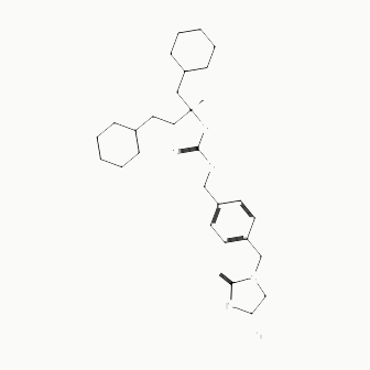 CCC[C@H]1CN(Cc2ccc(CNC(=N)N[C@](C=O)(CCC3CCCCC3)CC3CCCCC3)cc2)C(=O)N1